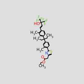 CCOC(=O)Cc1csc(-c2ccc(C(CC)(CC)c3ccc(C=CC(O)(C(F)(F)F)C(F)(F)F)c(C)c3)cc2C)n1